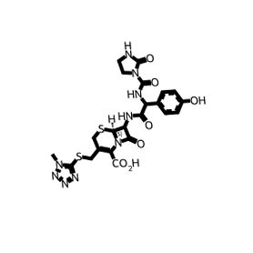 Cn1nnnc1SCC1=C(C(=O)O)N2C(=O)C(NC(=O)C(NC(=O)N3CCNC3=O)c3ccc(O)cc3)[C@@H]2SC1